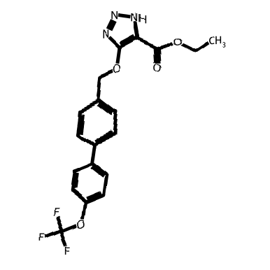 CCOC(=O)c1[nH]nnc1OCc1ccc(-c2ccc(OC(F)(F)F)cc2)cc1